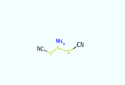 N.N#CSSSC#N